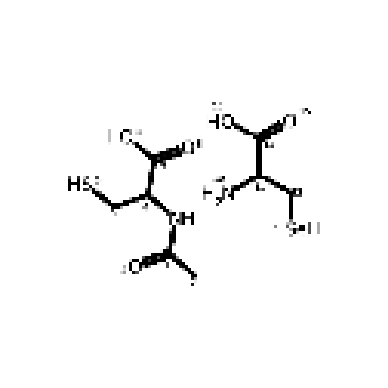 CC(=O)NC(CS)C(=O)O.NC(C[SeH])C(=O)O